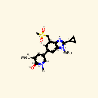 CCCCn1c(C2CC2)nc2c(CS(C)(=O)=O)cc(-c3cc(OC)c(=O)n(C)c3)cc21